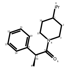 CC(C)C1CCN(C(=O)[C@@H](C)c2ccccc2)CC1